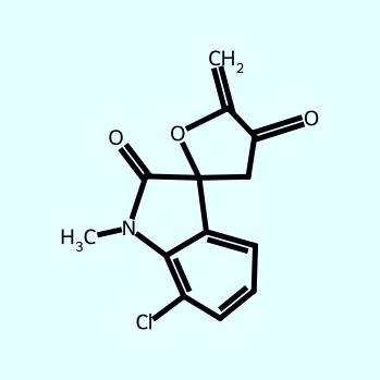 C=C1OC2(CC1=O)C(=O)N(C)c1c(Cl)cccc12